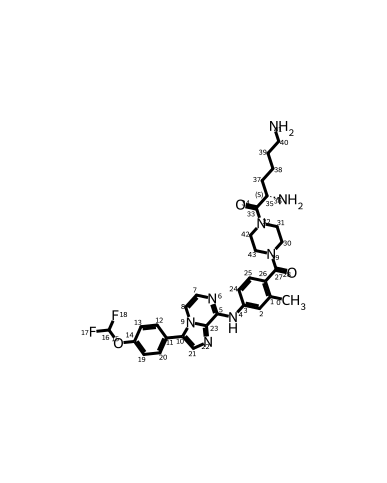 Cc1cc(Nc2nccn3c(-c4ccc(OC(F)F)cc4)cnc23)ccc1C(=O)N1CCN(C(=O)[C@@H](N)CCCCN)CC1